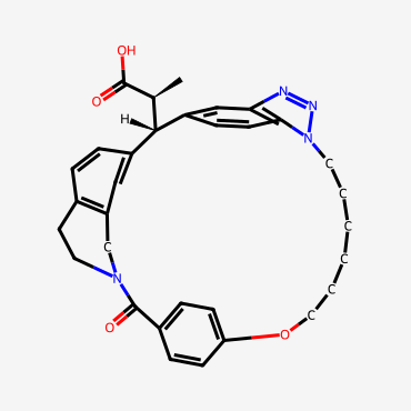 C[C@H](C(=O)O)[C@H]1c2ccc3c(c2)CN(CC3)C(=O)c2ccc(cc2)OCCCCCCn2nnc3cc1ccc32